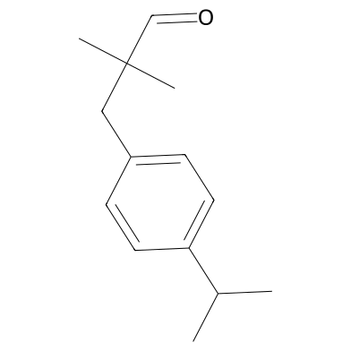 CC(C)c1ccc(CC(C)(C)C=O)cc1